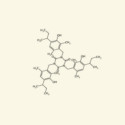 CCC(C)c1cc(C)c(Cn2c(=O)n(Cc3c(C)cc(C(C)CC)c(O)c3C)c(=O)n(Cc3c(C)cc(C(C)CC)c(O)c3C)c2=O)c(C)c1O